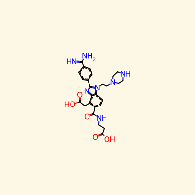 N=C(N)c1ccc(-c2nc3c(CC(=O)O)c(C(=O)NCCC(=O)O)ccc3n2CCN2CCNCC2)cc1